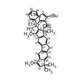 [CH2]=[Zr]([CH2]C)([C]1=C(CC)C(C(C)(C)C)=CC1CC)([C]1=C(C)c2cc3c(cc2C1(C)C)Cc1cc2c(cc1-3)C(C)=CC2(C)C)[c]1ccccc1